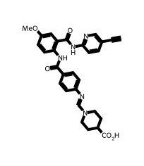 C#Cc1ccc(NC(=O)c2cc(OC)ccc2NC(=O)c2ccc(N=CN3CCC(C(=O)O)CC3)cc2)nc1